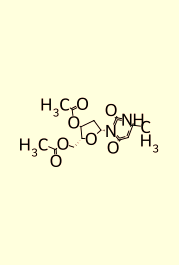 CC(=O)OC[C@H]1O[C@@H](n2c(=O)cc(C)[nH]c2=O)CC1OC(C)=O